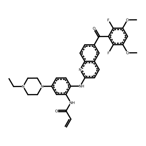 C=CC(=O)Nc1cc(N2CCN(CC)CC2)ccc1Nc1ccc2cc(C(=O)c3c(F)c(OC)cc(OC)c3F)ccc2n1